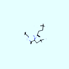 C=C(C)CNC(=C)C(CC(C)(C)C)N(C)C(=C)CCC(C)(C)C